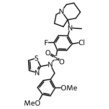 COc1ccc(CN(c2nccs2)S(=O)(=O)c2cc(Cl)c(N(C)C34CCCCN3CCC4)cc2F)c(OC)c1